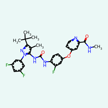 CNC(=O)c1cc(Oc2ccc(NC(=O)Nc3c(C)c(C(C)(C)C)nn3-c3cc(F)cc(F)c3)c(F)c2)ccn1